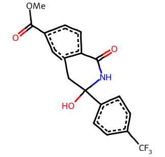 COC(=O)c1ccc2c(c1)CC(O)(c1ccc(C(F)(F)F)cc1)NC2=O